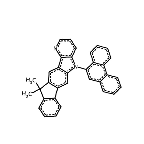 CC1(C)c2ccccc2-c2cc3c(cc21)c1ncccc1n3-c1cc2ccccc2c2ccccc12